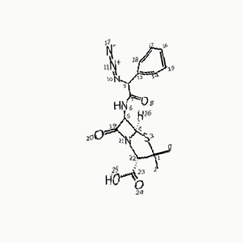 CC1(C)S[C@@H]2[C@H](NC(=O)C(N=[N+]=[N-])c3ccccc3)C(=O)N2[C@H]1C(=O)O